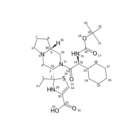 CCC1([C@@H]2CN3CCC[C@@H]3CN2C(=O)[C@@H](NC(=O)OC(C)(C)C)C2CCCCC2)NC(C(=O)O)=CS1